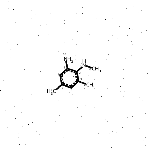 CNc1c(C)cc(C)cc1N